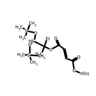 CCCCCCCCOC(=O)C=CC(=O)OC(C)(CC)[SiH](O[Si](C)(C)C)O[Si](C)(C)C